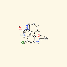 CCCc1nc2cc(Cl)c3c(c2o1)C1(CCCCC1)NC(=O)N3